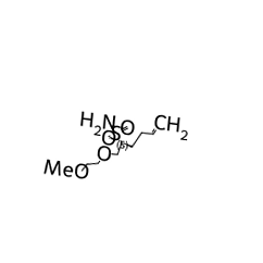 C=CCC[C@@H](COCCOC)S(N)(=O)=O